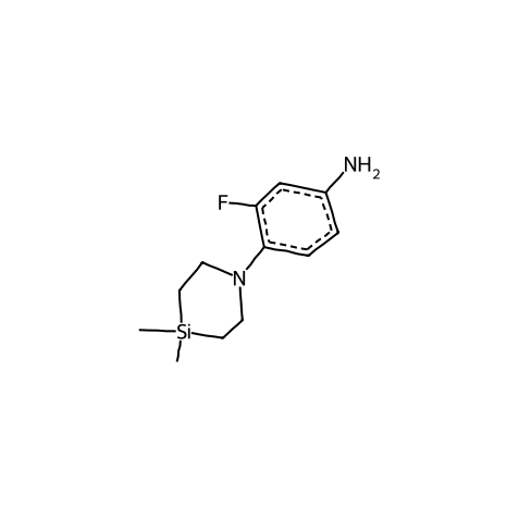 C[Si]1(C)CCN(c2ccc(N)cc2F)CC1